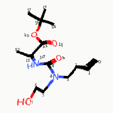 C=CCCN(CCO)C(=O)NC(C)C(=O)OC(C)(C)C